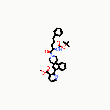 COC(=O)c1cccnc1C1=CC2(CCN(C(=O)C(CCCc3ccccc3)NC(=O)OC(C)(C)C)CC2)c2ccccc21